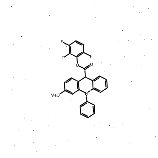 COc1ccc2c(c1)N(c1ccccc1)c1ccccc1C2C(=O)Oc1c(F)ccc(F)c1F